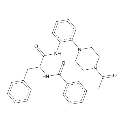 CC(=O)N1CCN(c2ccccc2NC(=O)C(Cc2ccccc2)NC(=O)c2ccccc2)CC1